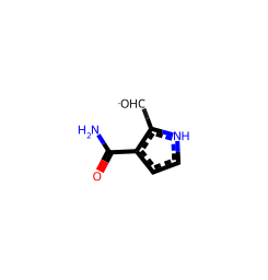 NC(=O)c1cc[nH]c1[C]=O